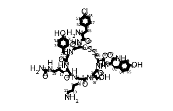 C[C@@H](O)[C@@H]1NC(=O)[C@H](CCCCN)NC(=O)[C@@H](CCCNC(N)=O)NC(=O)[C@H](Cc2ccc(O)cc2)NC(=O)[C@H](NC(=O)[C@@H](N)Cc2ccc(Cl)cc2)CSSC[C@@H](C(=O)N[C@H](Cc2ccc(O)cc2)C(N)=O)NC1=O